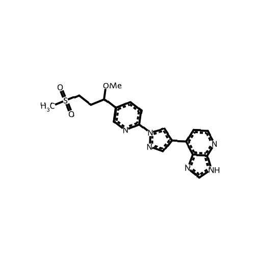 COC(CCS(C)(=O)=O)c1ccc(-n2cc(-c3ccnc4[nH]cnc34)cn2)nc1